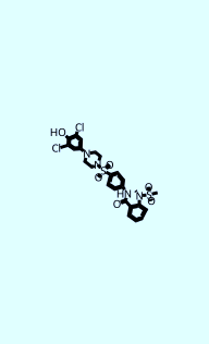 CN(c1ccccc1C(=O)Nc1ccc(S(=O)(=O)N2CCN(c3cc(Cl)c(O)c(Cl)c3)CC2)cc1)S(C)(=O)=O